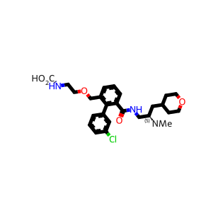 CN[C@H](CNC(=O)c1cccc(COCCNC(=O)O)c1-c1cccc(Cl)c1)CC1CCOCC1